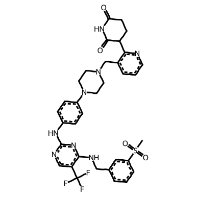 CS(=O)(=O)c1cccc(CNc2nc(Nc3ccc(N4CCN(Cc5cccnc5C5CCC(=O)NC5=O)CC4)cc3)ncc2C(F)(F)F)c1